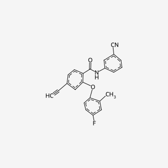 C#Cc1ccc(C(=O)Nc2cccc(C#N)c2)c(Oc2ccc(F)cc2C)c1